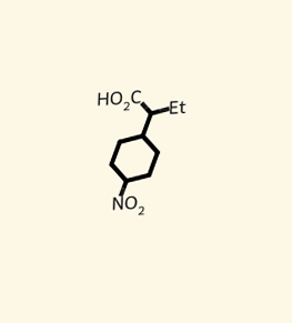 CCC(C(=O)O)C1CCC([N+](=O)[O-])CC1